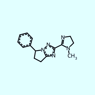 CN1CCN=C1c1nc2n(n1)C(c1ccccc1)CC2